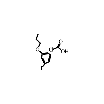 CCCOc1cccc(F)c1.O=C(O)Cl